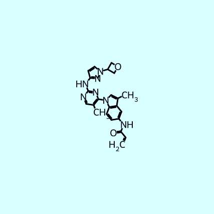 C=CC(=O)Nc1ccc2c(c1)c(C)cn2-c1nc(Nc2ccn(C3COC3)n2)ncc1C